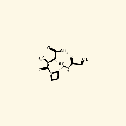 C=CC(=O)NC[C@@H]1CCN1C(=O)N(C)[C@H](C(N)=O)C(C)C